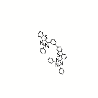 c1ccc(-c2nc(-c3ccccc3)nc(-c3cccc4c3sc3cc(-c5cccc(-c6nc(-c7ccccc7)nc7c6sc6ccccc67)c5)ccc34)n2)cc1